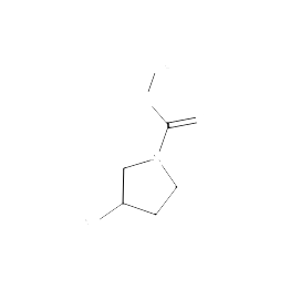 CC(=O)C1CCN(C(=O)OC(C)(C)C)C1